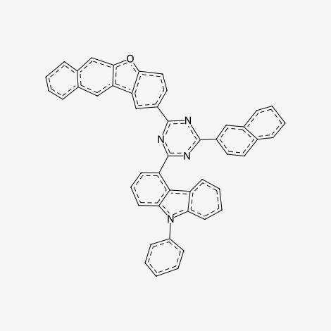 c1ccc(-n2c3ccccc3c3c(-c4nc(-c5ccc6ccccc6c5)nc(-c5ccc6oc7cc8ccccc8cc7c6c5)n4)cccc32)cc1